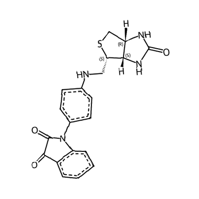 O=C1N[C@H]2[C@H](CS[C@H]2CNc2ccc(N3C(=O)C(=O)c4ccccc43)cc2)N1